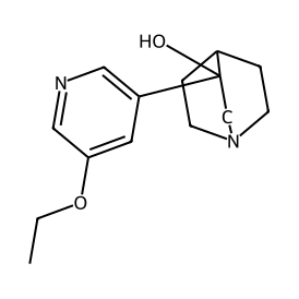 CCOc1cncc(C2(O)CN3CCC2CC3)c1